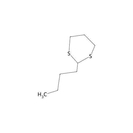 CCCCC1SCCCS1